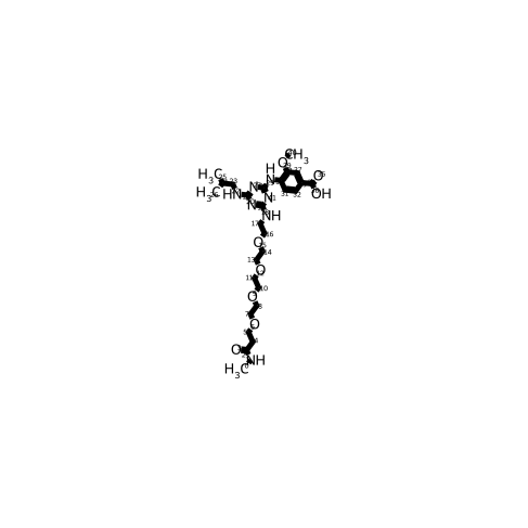 CNC(=O)CCOCCOCCOCCOCCNc1nc(NCC(C)C)nc(Nc2ccc(C(=O)O)cc2OC)n1